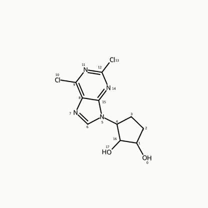 OC1[CH]CC(n2cnc3c(Cl)nc(Cl)nc32)C1O